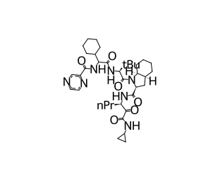 CCC[C@@H](NC(=O)[C@@H]1C[C@@H]2CCCC[C@@H]2N1C(=O)[C@@H](NC(=O)C(NC(=O)c1cnccn1)C1CCCCC1)C(C)(C)C)C(=O)C(=O)NC1CC1